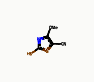 COc1nc(S)sc1C#N